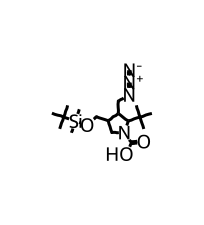 CC(C)(C)C1C(CN=[N+]=[N-])C(CO[Si](C)(C)C(C)(C)C)CN1C(=O)O